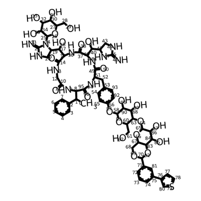 CC(c1ccccc1)C1NC(=O)CNC(=O)C(C(O)C2CNC(=N)N2C2OC(CO)C(O)C(O)C2O)NC(=O)C(C(O)C2CNC(=N)N2)NC(=O)C(Cc2ccc(OC3OC(CO)C(OC4OC5COC(c6cccc(-c7ccsc7)c6)OC5C(O)C4O)C(O)C3O)cc2)NC1=O